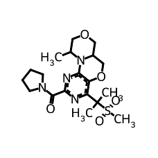 CC1COCC2COc3c(nc(C(=O)N4CCCC4)nc3C(C)(C)S(C)(=O)=O)N12